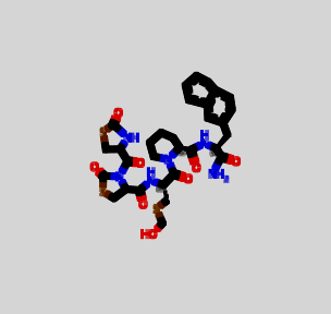 NC(=O)[C@H](Cc1ccc2ccccc2c1)NC(=O)[C@@H]1CCCCN1C(=O)[C@H](CSCO)NC(=O)C1CSC(=O)N1C(=O)C1CSC(=O)N1